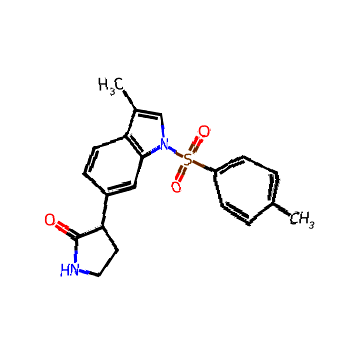 Cc1ccc(S(=O)(=O)n2cc(C)c3ccc(C4CCNC4=O)cc32)cc1